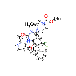 Cc1ccnc(C(C)C)c1-n1c(=O)nc(N2CCN(C(=O)OC(C)(C)C)C[C@@H]2C)c2cc(Cl)c3c(c21)OCc1cccc(F)c1-3